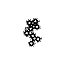 c1ccc(-n2c3ccccc3c3ccc(-c4cccc5oc6cc7c(cc6c45)-c4ccccc4C74c5ccccc5-c5ccccc54)cc32)cc1